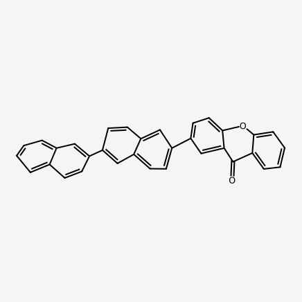 O=c1c2ccccc2oc2ccc(-c3ccc4cc(-c5ccc6ccccc6c5)ccc4c3)cc12